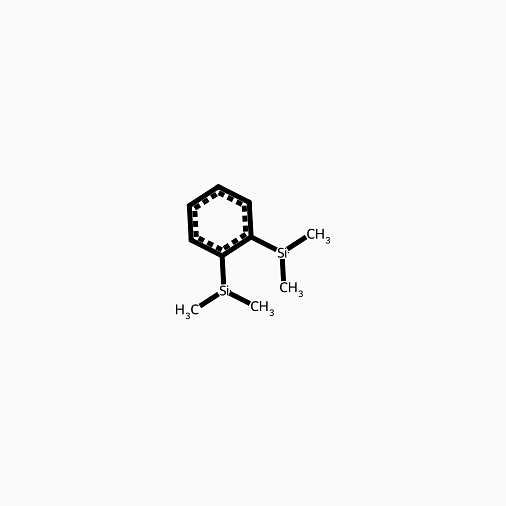 C[Si](C)c1ccccc1[Si](C)C